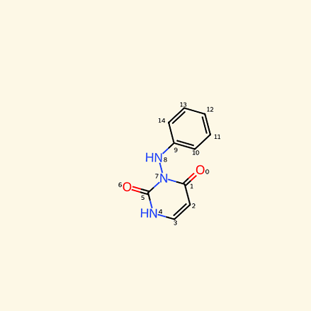 O=c1cc[nH]c(=O)n1Nc1ccccc1